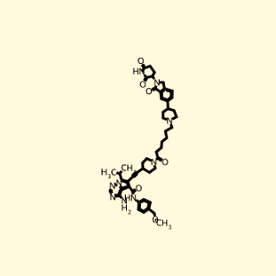 COCc1ccc(NC(=O)c2c(C#CC3CCN(C(=O)CCCCCCN4CCC(c5ccc6c(c5)C(=O)N(C5CCC(=O)NC5=O)C6)CC4)CC3)c(C(C)C)n3ncnc(N)c23)cc1